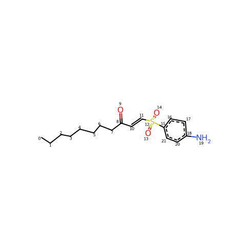 CCCCCCCCC(=O)C=CS(=O)(=O)c1ccc(N)cc1